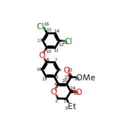 CCC1COC(c2ccc(Oc3cc(Cl)cc(Cl)c3)cc2)=C(C(=O)OC)C1=O